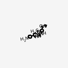 COc1cc(C(=O)N2CCC2)ccc1NC(=N)/N=c1/ccc(-c2ccc(N)cc2)c[nH]1